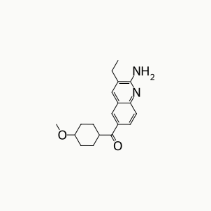 CCc1cc2cc(C(=O)C3CCC(OC)CC3)ccc2nc1N